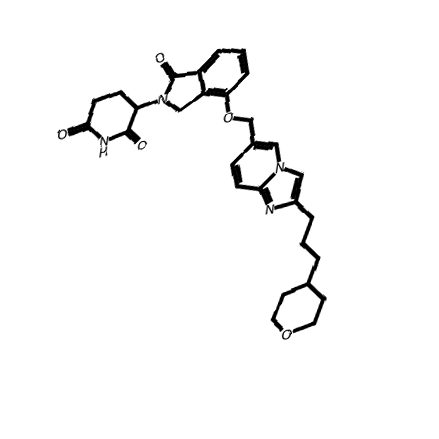 O=C1CCC(N2Cc3c(OCc4ccc5nc(CCCC6CCOCC6)cn5c4)cccc3C2=O)C(=O)N1